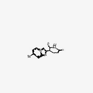 O=C1CCC(c2cn3ccc(Br)cc3n2)C(=O)N1